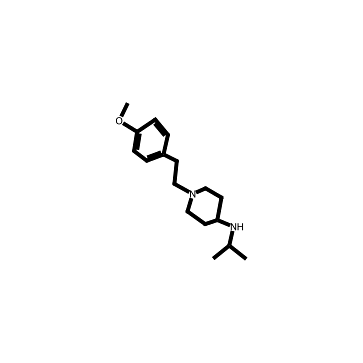 COc1ccc(CCN2CCC(NC(C)C)CC2)cc1